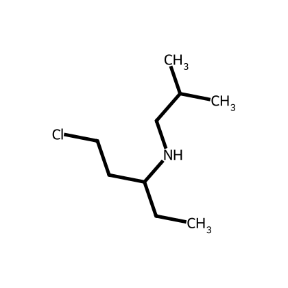 CCC(CCCl)NCC(C)C